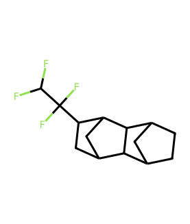 FC(F)C(F)(F)C1CC2CC1C1C3CCC(C3)C21